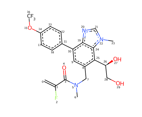 C=C(F)C(=O)N(C)Cc1cc(-c2ccc(OC(F)(F)F)cc2)c2ncn(C)c2c1[C@@H](O)CO